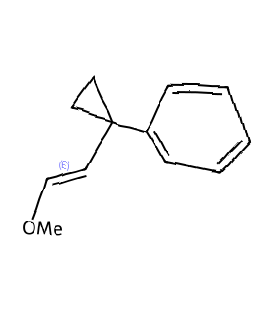 CO/C=C/C1(c2ccccc2)CC1